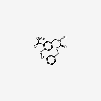 CCOc1ccc(CN(C(=O)OCc2ccccc2)C(C)C)cc1C(=O)OC